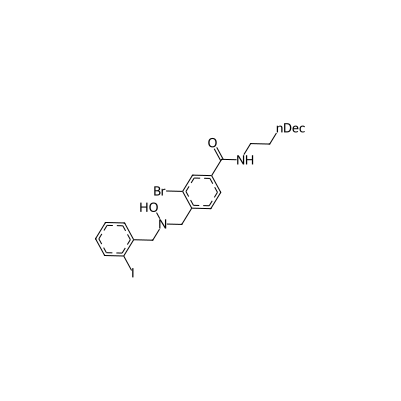 CCCCCCCCCCCCNC(=O)c1ccc(CN(O)Cc2ccccc2I)c(Br)c1